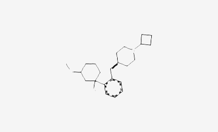 COC1CCCC(O)(c2ccccc2C=C2CCN(C3CCC3)CC2)C1